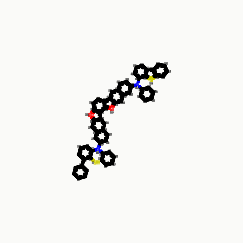 Sc1c(-c2ccccc2)cccc1N(c1ccccc1)c1ccc2cc3c(cc2c1)oc1ccc2c4cc5ccc(N(c6ccccc6)c6cccc7c6sc6ccccc67)cc5cc4oc2c13